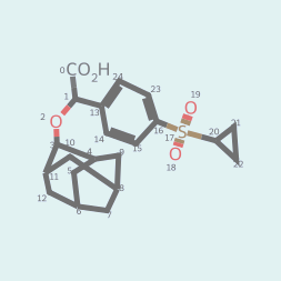 O=C(O)C(OC1C2CC3CC(C2)CC1C3)c1ccc(S(=O)(=O)C2CC2)cc1